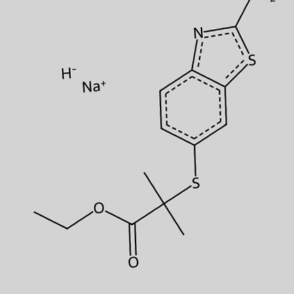 CCOC(=O)C(C)(C)Sc1ccc2nc(N)sc2c1.[H-].[Na+]